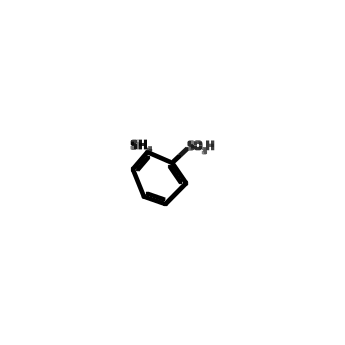 O=S(=O)(O)c1ccccc1.[SiH4]